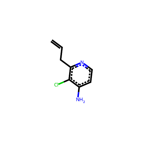 C=CCc1nccc(N)c1Cl